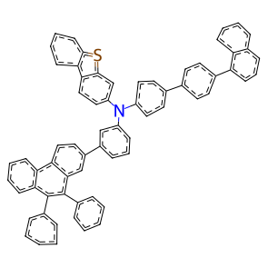 c1ccc(-c2c(-c3ccccc3)c3cc(-c4cccc(N(c5ccc(-c6ccc(-c7cccc8ccccc78)cc6)cc5)c5ccc6c(c5)sc5ccccc56)c4)ccc3c3ccccc23)cc1